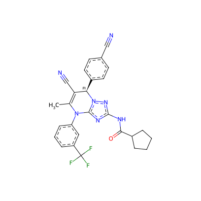 CC1=C(C#N)[C@@H](c2ccc(C#N)cc2)n2nc(NC(=O)C3CCCC3)nc2N1c1cccc(C(F)(F)F)c1